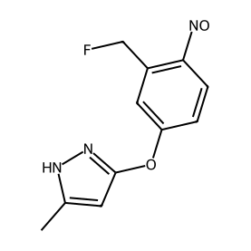 Cc1cc(Oc2ccc(N=O)c(CF)c2)n[nH]1